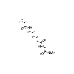 CNC(=O)CNC(=O)CCCCCNC(=O)CBr